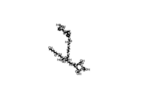 CCCCCCCC(=O)NCCCC[C@H](NC(=O)[C@H](CCCCNC(=O)CN1CCN(CC(=O)O)CCN(CC(=O)O)CCN(CC(=O)O)CC1)NC(=O)CCOCCOCCOCCNC(=O)COc1ccc2c(C(=O)NCC(=O)N3CCC[C@H]3B(O)O)ccnc2c1)C(=O)O